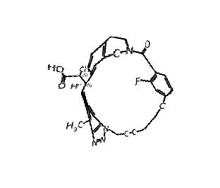 Cc1c2ccc3c1nnn3CCCCCCc1ccc(c(F)c1)C(=O)N1CCc3ccc(cc3C1)[C@@H]2[C@H](C)C(=O)O